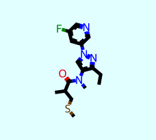 CCc1nn(-c2cncc(F)c2)cc1N(C)C(=O)C(C)CSC